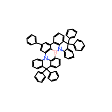 c1ccc(-c2cc3c4c(c2)N2c5ccccc5C(c5ccccc5)(c5ccccc5)c5cccc(c52)B4N2c4ccccc4C(c4ccccc4)(c4ccccc4)c4cccc-3c42)cc1